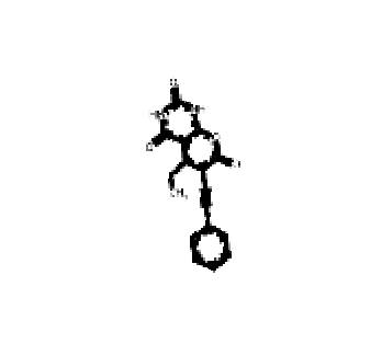 CCc1c(C#Cc2ccccc2)c(=O)oc2[nH]c(=O)[nH]c(=O)c12